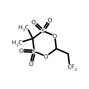 CC1(C)S(=O)(=O)OC(CC(F)(F)F)OS1(=O)=O